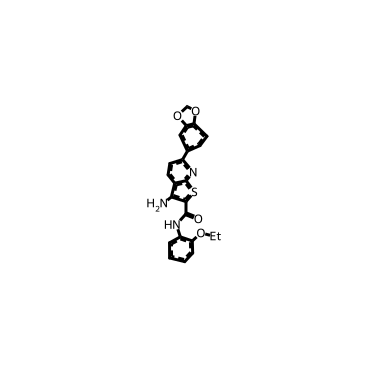 CCOc1ccccc1NC(=O)c1sc2nc(-c3ccc4c(c3)OCO4)ccc2c1N